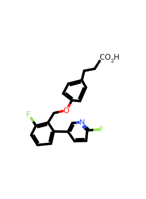 O=C(O)CCc1ccc(OCc2c(F)cccc2-c2ccc(F)nc2)cc1